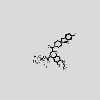 CC(C)(C)OC(=O)N1CC(C(=O)N2CCC(C#N)(Cc3ccc(F)cc3)CC2)Oc2cc(N=[N+]=[N-])c(Cl)cc21